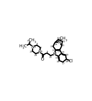 CC(C)N1CCN(C(=O)CCn2c3c(c4c2=CCC(Cl)C=4)C2CCC(C3)N2C)CC1